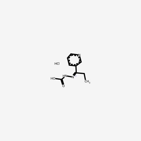 CC/C(=N/NC(=O)O)c1cccnc1.Cl